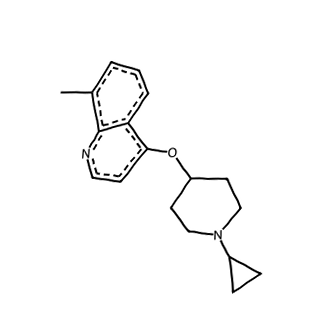 Cc1cccc2c(OC3CCN(C4CC4)CC3)ccnc12